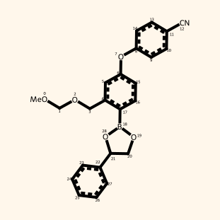 COCOCc1cc(Oc2ccc(C#N)cc2)ccc1B1OCC(c2ccccc2)O1